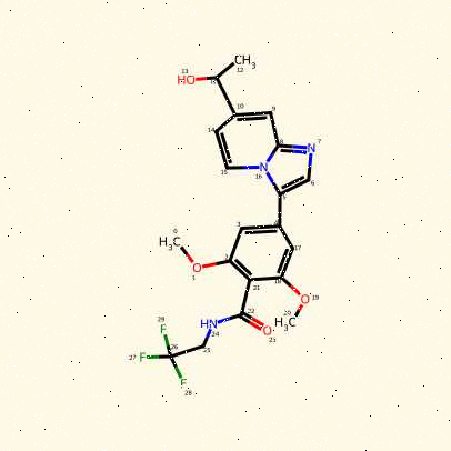 COc1cc(-c2cnc3cc(C(C)O)ccn23)cc(OC)c1C(=O)NCC(F)(F)F